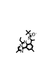 CCc1nc2c(C(C)=N[S@+]([O-])C(C)(C)C)cc(C)cc2c2nc(C)cn12